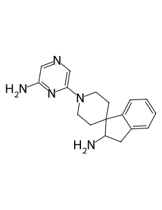 Nc1cncc(N2CCC3(CC2)c2ccccc2CC3N)n1